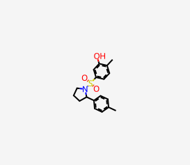 Cc1ccc(C2CCCN2S(=O)(=O)c2ccc(C)c(O)c2)cc1